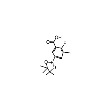 Cc1cc(B2OC(C)(C)C(C)(C)O2)cc(C(=O)O)c1F